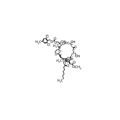 CCCCCCCC(=O)O[C@H]1/C(=C/C(=O)OC)C[C@H]2C[C@H](CO)OC(=O)C[C@H](O)CCO[C@H](C(C)(C)COC(=O)OCc3c(Cl)cc(C)cc3Cl)C[C@@H]3CCO[C@H](/C=C/C(C)(C)[C@]1(O)O2)O3